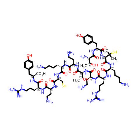 C[C@@H](O)[C@H](N)C(=O)N[C@@H](Cc1ccc(O)cc1)C(=O)N[C@H](C(=O)N[C@@H](CCCCN)C(=O)N[C@@H](CCCNC(=N)N)C(=O)N[C@@H](CCN)C(=O)N[C@H](C(=O)N[C@H](CCN)C(=O)N[C@@H](CCCCN)C(=O)N[C@@H](CS)C(=O)N[C@@H](CCN)C(=O)N[C@@H](CCCNC(=N)N)C(=O)N[C@@H](Cc1ccc(O)cc1)C(=O)O)[C@@H](C)O)C(C)(C)S